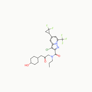 CCCN(CC(=O)CC1CCC(O)CC1)C(=O)c1nn2c(C(F)(F)F)cc(C3CC3(F)F)cc2c1Cl